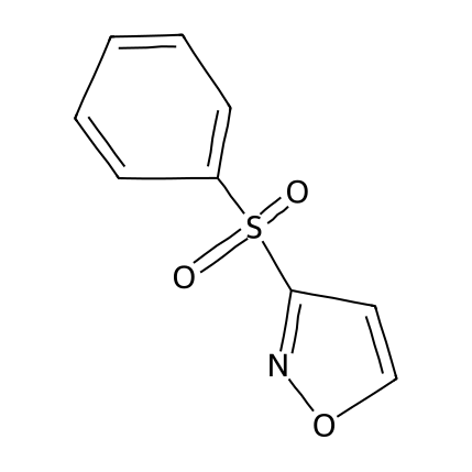 O=S(=O)(c1ccccc1)c1ccon1